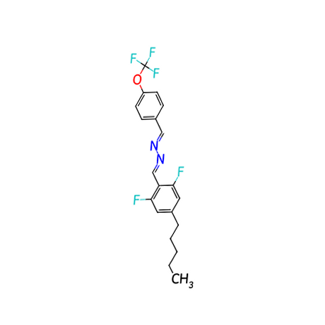 CCCCCc1cc(F)c(C=NN=Cc2ccc(OC(F)(F)F)cc2)c(F)c1